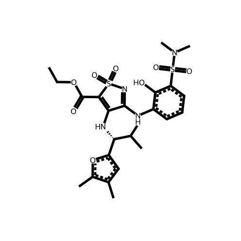 CCOC(=O)C1=C(N[C@@H](c2cc(C)c(C)o2)C(C)C)C(Nc2cccc(S(=O)(=O)N(C)C)c2O)=NS1(=O)=O